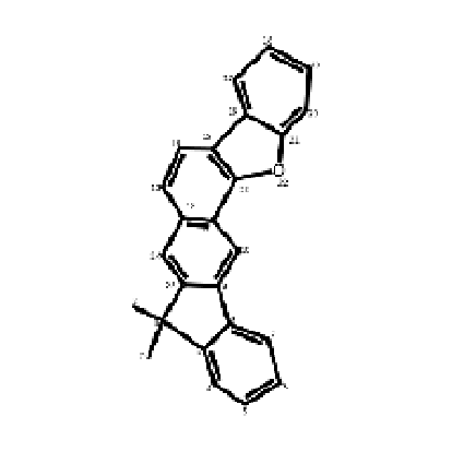 CC1(C)c2ccccc2-c2cc3c(ccc4c5ccccc5oc34)cc21